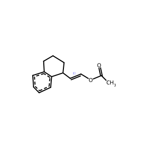 CC(=O)O/C=C/C1CCCc2ccccc21